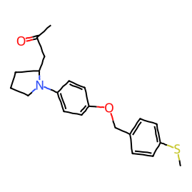 CSc1ccc(COc2ccc(N3CCCC3CC(C)=O)cc2)cc1